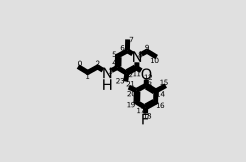 CCCNC1=CC(C)N(CC)C(Oc2c(C)cc(F)cc2C)=C1C